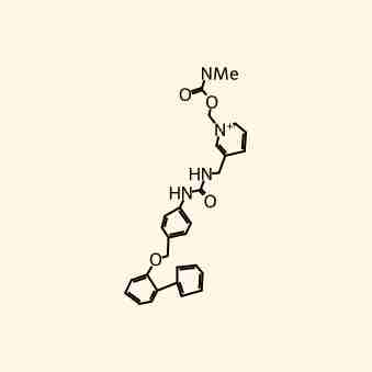 CNC(=O)OC[n+]1cccc(CNC(=O)Nc2ccc(COc3ccccc3-c3ccccc3)cc2)c1